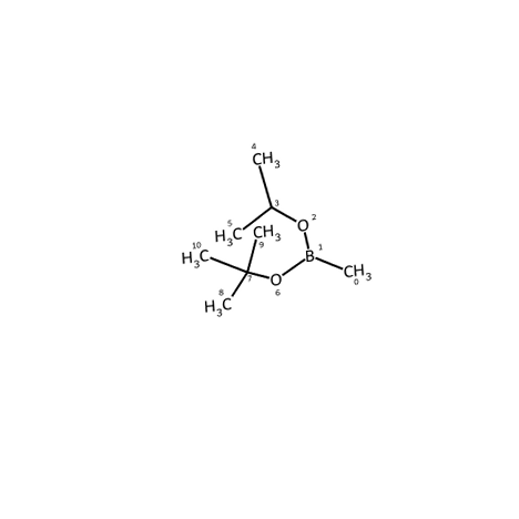 CB(OC(C)C)OC(C)(C)C